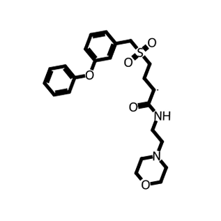 O=C([CH]CCS(=O)(=O)Cc1cccc(Oc2ccccc2)c1)NCCN1CCOCC1